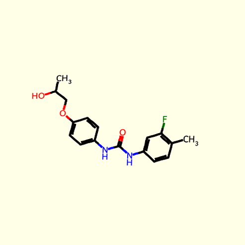 Cc1ccc(NC(=O)Nc2ccc(OCC(C)O)cc2)cc1F